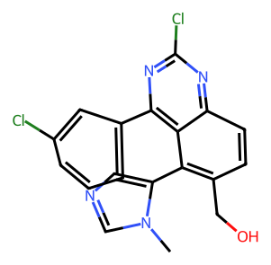 Cn1cncc1-c1c(CO)ccc2nc(Cl)nc(-c3cccc(Cl)c3)c12